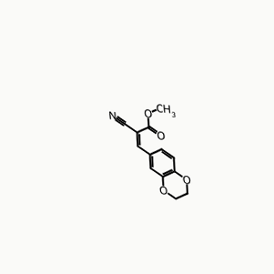 COC(=O)C(C#N)=Cc1ccc2c(c1)OCCO2